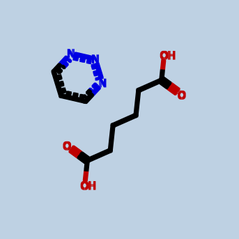 O=C(O)CCCCC(=O)O.c1cnnnc1